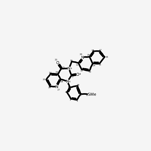 CSc1cccc(-n2c(=O)n(Cc3ccc4ccccc4n3)c(=O)c3cccnc32)c1